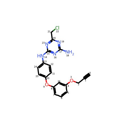 C#CCOc1cccc(Oc2ccc(Nc3nc(N)nc(CCl)n3)cc2)c1